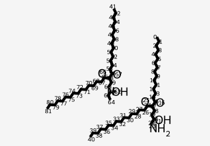 CCCCCCCCCCCCCCCC(=O)C(CCC(O)CN)C(=O)CCCCCCCCCCCCCCC.CCCCCCCCCCCCCCCC(=O)C(CCN(O)CC)C(=O)CCCCCCCCCCCCCCC